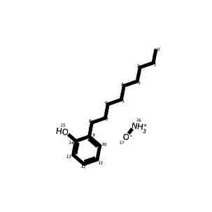 CCCCCCCCCc1ccccc1O.[NH3+][O-]